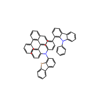 c1ccc(-c2cccc3cccc(-c4ccccc4N(c4ccc(-c5cccc6c7ccccc7n(-c7ccccc7)c56)cc4)c4cccc5c4sc4ccccc45)c23)cc1